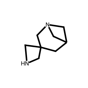 C1C2CN1CC1(CNC1)C2